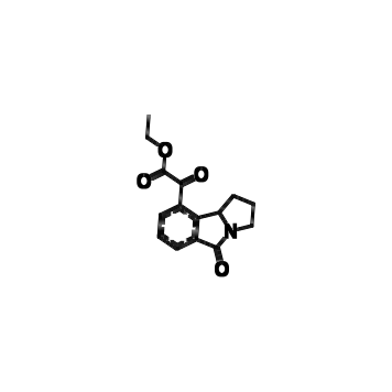 CCOC(=O)C(=O)c1cccc2c1C1CCCN1C2=O